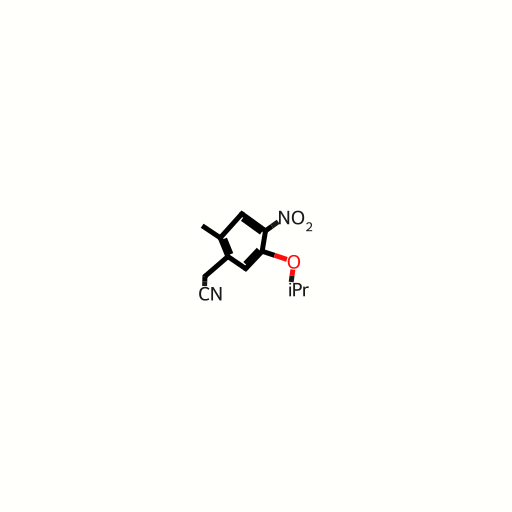 Cc1cc([N+](=O)[O-])c(OC(C)C)cc1CC#N